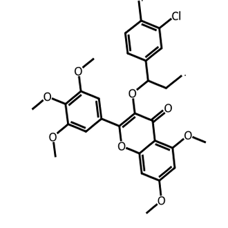 [CH2]CC(Oc1c(-c2cc(OC)c(OC)c(OC)c2)oc2cc(OC)cc(OC)c2c1=O)c1ccc([CH2])c(Cl)c1